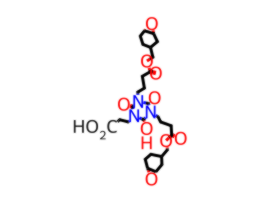 O=C(O)CCN1C(=O)N(CCCC(=O)OCC2CCC3OC3C2)C(=O)N(CCCC(=O)OCC2CCC3OC3C2)C1O